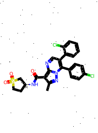 Cc1nn2c(-c3ccc(Cl)cc3)c(-c3ccccc3Cl)cnc2c1C(=O)N[C@@H]1CCS(=O)(=O)C1